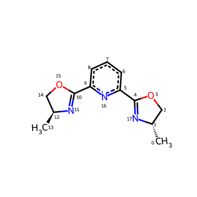 C[C@H]1COC(c2cccc(C3=N[C@@H](C)CO3)n2)=N1